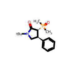 CC(C)(C)N1C[C@H](c2ccccc2)[C@@H](P(C)(C)=O)C1=O